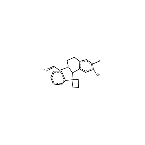 C=CCN1CCc2cc(Cl)c(O)cc2C1C1(c2ccccc2)CCC1